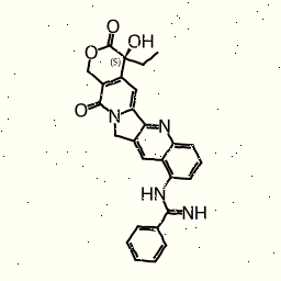 CC[C@@]1(O)C(=O)OCc2c1cc1n(c2=O)Cc2cc3c(NC(=N)c4ccccc4)cccc3nc2-1